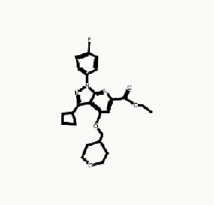 CCOC(=O)c1cc(OCC2CCOCC2)c2c(C3CCC3)nn(-c3ccc(F)cc3)c2n1